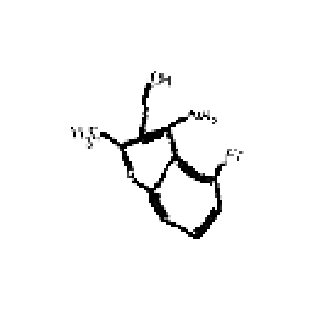 CCc1cccc2nc(C)c(CO)c(N)c12